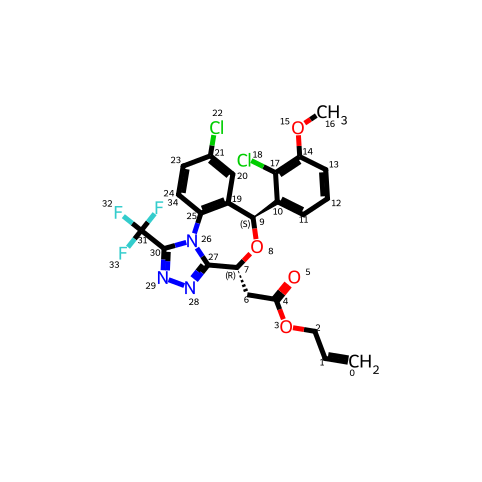 C=CCOC(=O)C[C@H]1O[C@H](c2cccc(OC)c2Cl)c2cc(Cl)ccc2-n2c1nnc2C(F)(F)F